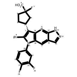 CC(C)c1c([C@@H]2CC[C@@](F)(C(=O)O)C2)c2nc3[nH]ncc3cc2n1-c1ccc(F)c(F)c1